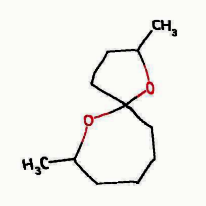 CC1CCCCC2(CCC(C)O2)O1